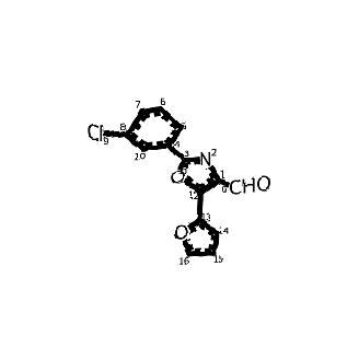 O=Cc1nc(-c2cccc(Cl)c2)oc1-c1ccco1